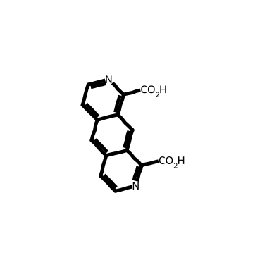 O=C(O)c1nccc2cc3ccnc(C(=O)O)c3cc12